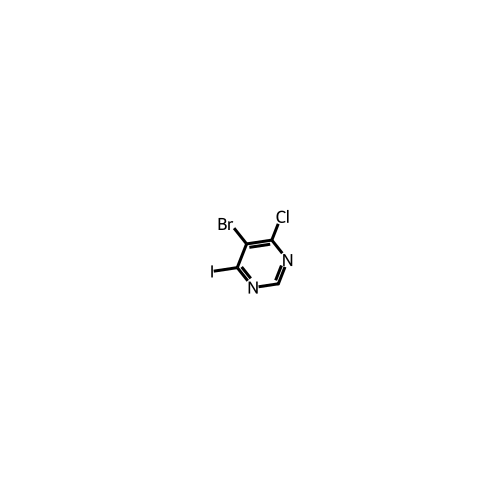 Clc1ncnc(I)c1Br